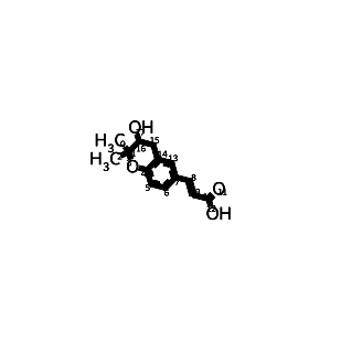 CC1(C)Oc2ccc(C=CC(=O)O)cc2CC1O